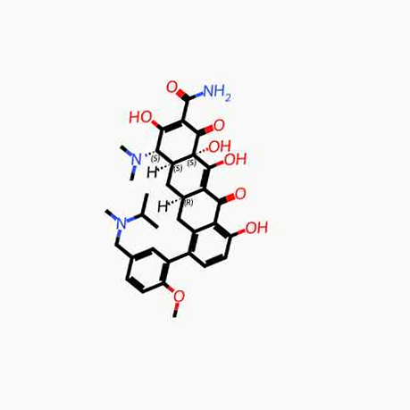 COc1ccc(CN(C)C(C)C)cc1-c1ccc(O)c2c1C[C@H]1C[C@H]3[C@H](N(C)C)C(O)=C(C(N)=O)C(=O)[C@@]3(O)C(O)=C1C2=O